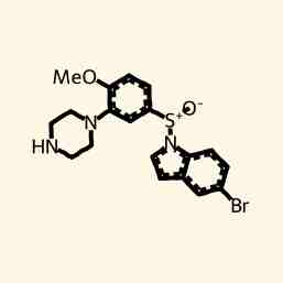 COc1ccc([S+]([O-])n2ccc3cc(Br)ccc32)cc1N1CCNCC1